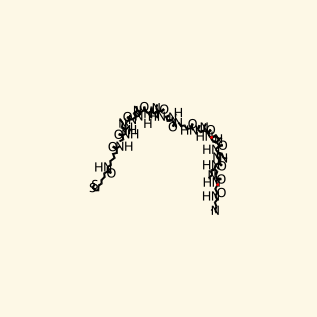 CN(C)CCCNC(=O)CCNC(=O)c1cc(NC(=O)c2nc(NC(=O)c3cc(NC(=O)c4cc(NC(=O)CCCNC(=O)c5cc(NC(=O)c6nc(NC(=O)c7nc(NC(=O)c8nc(NC(=O)CCNC(=O)CCCCCNC(=O)CCCCC9CCSS9)cn8C)cn7C)cn6C)cn5C)cn4C)cn3C)cn2C)cn1C